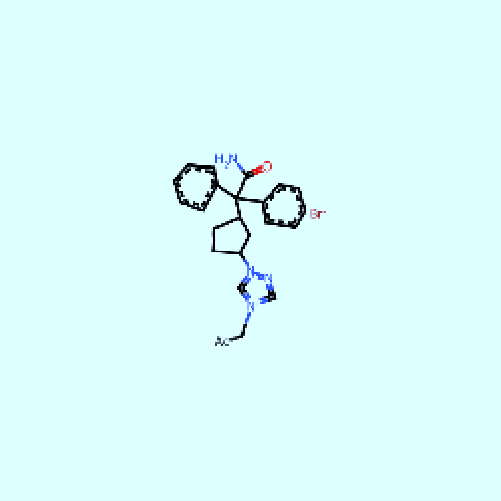 CC(=O)C[n+]1cnn(C2CCC(C(C(N)=O)(c3ccccc3)c3ccccc3)C2)c1.[Br-]